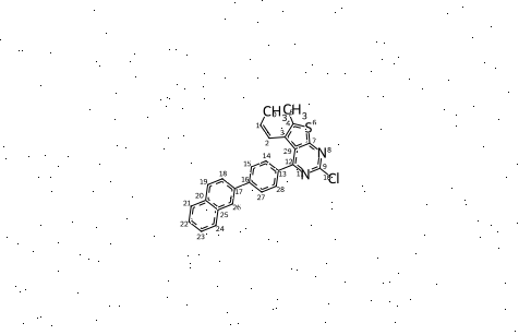 C/C=C\c1c(C)sc2nc(Cl)nc(-c3ccc(-c4ccc5ccccc5c4)cc3)c12